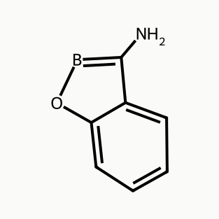 Nc1boc2ccccc12